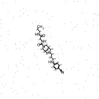 CCCNC(=O)CNC(=O)N1CC2CC(CN(CCCNc3ccc(C#N)cc3)C2)C1